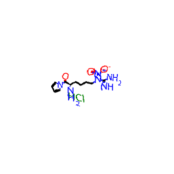 Cl.N=C(N)N(CCCC[C@H](N)C(=O)n1cccc1)[N+](=O)[O-]